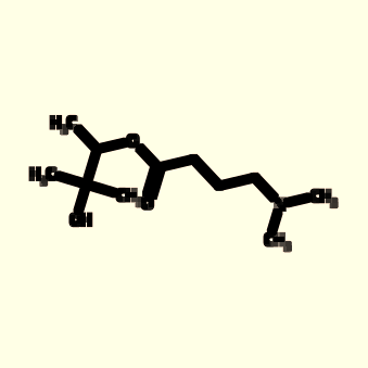 CC(OC(=O)CCCN(C)C)C(C)(C)O